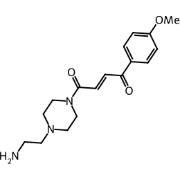 COc1ccc(C(=O)/C=C/C(=O)N2CCN(CCN)CC2)cc1